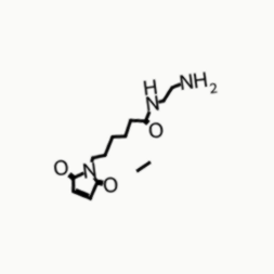 CC.NCCNC(=O)CCCCCN1C(=O)C=CC1=O